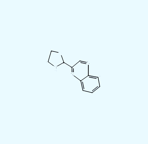 c1ccc2nc(C3NCCO3)cnc2c1